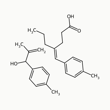 C=C(C)C(O)c1ccc(C)cc1.CCCC(=Cc1ccc(C)cc1)CCC(=O)O